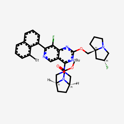 CCc1cccc2cccc(-c3ncc4c(N5C[C@H]6CC[C@@H](C5)N6C(=O)OC(C)(C)C)nc(OC[C@@]56CCCN5C[C@H](F)C6)nc4c3F)c12